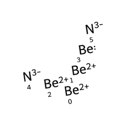 [Be+2].[Be+2].[Be+2].[Be].[N-3].[N-3]